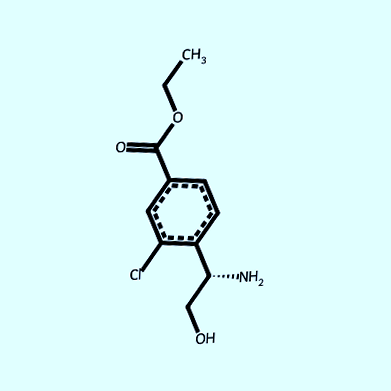 CCOC(=O)c1ccc([C@H](N)CO)c(Cl)c1